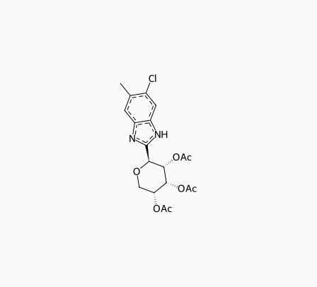 CC(=O)O[C@@H]1[C@H](OC(C)=O)[C@H](OC(C)=O)CO[C@H]1c1nc2cc(C)c(Cl)cc2[nH]1